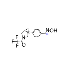 O=C(N1CC2C[C@@]2(c2ccc(/C=N/O)cc2)C1)C(F)(F)F